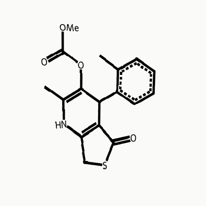 COC(=O)OC1=C(C)NC2=C(C(=O)SC2)C1c1ccccc1C